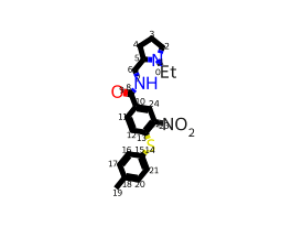 CCN1CCCC1CNC(=O)c1ccc(Sc2ccc(C)cc2)c([N+](=O)[O-])c1